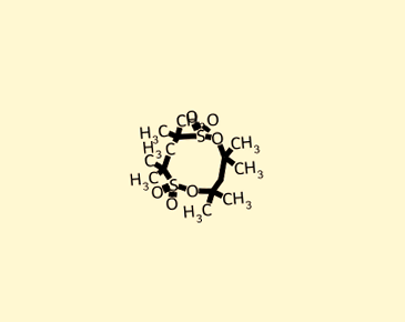 CC1(C)CC(C)(C)OS(=O)(=O)C(C)(C)CC(C)(C)S(=O)(=O)O1